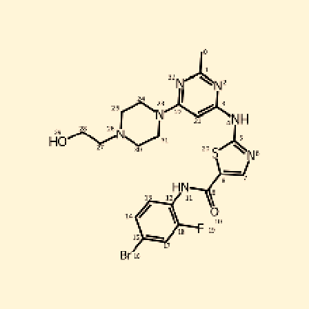 Cc1nc(Nc2ncc(C(=O)Nc3ccc(Br)cc3F)s2)cc(N2CCN(CCO)CC2)n1